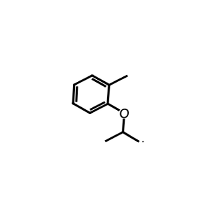 [CH2]C(C)Oc1ccccc1C